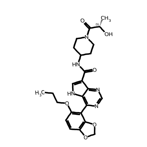 CCCOc1ccc2c(c1-c1ncnc3c(C(=O)NC4CCN(C(=O)[C@H](C)O)CC4)c[nH]c13)OCO2